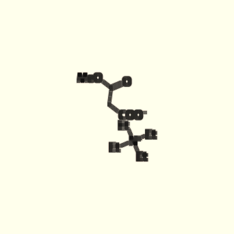 CC[N+](CC)(CC)CC.COC(=O)CC(=O)[O-]